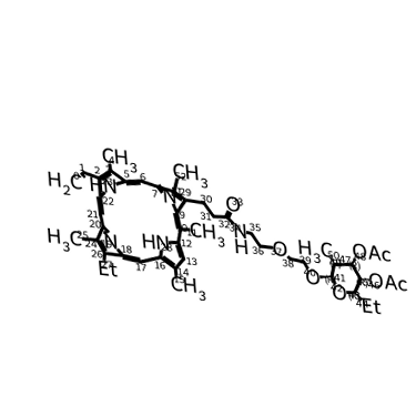 C=Cc1c(C)c2cc3nc(c(C)c4cc(C)c(cc5nc(cc1[nH]2)C(C)=C5CC)[nH]4)C(CCC(=O)NCCOCCO[C@@H]1O[C@H](CC)[C@@H](OC(C)=O)[C@H](OC(C)=O)[C@H]1C)=C3C